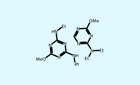 CCN(CC)c1ncnc(OC)n1.CCNc1nc(NC(C)C)nc(OC)n1